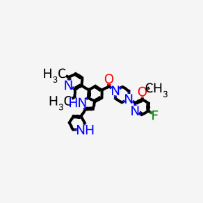 CCc1nc(C)ccc1-c1cc(C(=O)N2CCN(c3ncc(F)cc3OC)CC2)cc2cc(C3=CCCNC3)[nH]c12